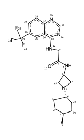 C[C@H]1CC[C@H](N2CC(NC(=O)CNc3ncnc4ccc(C(F)(F)F)cc34)C2)CC1